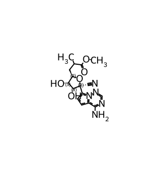 COC(=O)C(C)C[C@H]1O[C@@](C#N)(c2ccc3c(N)ncnn23)[C@H](O)[C@@H]1O